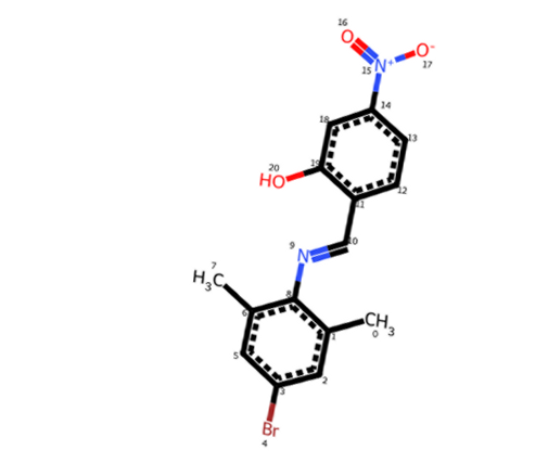 Cc1cc(Br)cc(C)c1N=Cc1ccc([N+](=O)[O-])cc1O